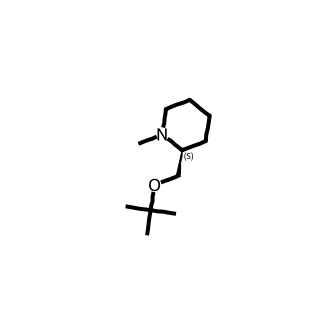 CN1CCCC[C@H]1COC(C)(C)C